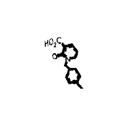 Cc1ccc(Cn2cccc(C(=O)O)c2=O)cc1